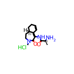 C[C@H](N)C(=O)NC1=C2C=CCC[C@H]2CCN(C)C1=O.Cl